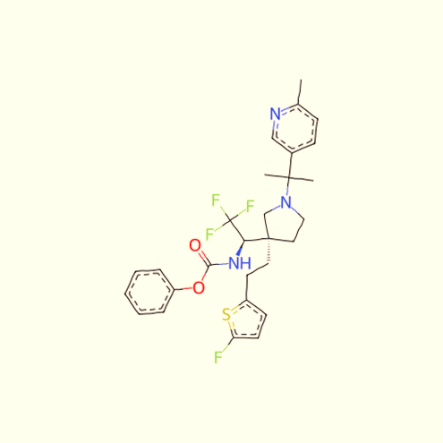 Cc1ccc(C(C)(C)N2CC[C@@](CCc3ccc(F)s3)([C@@H](NC(=O)Oc3ccccc3)C(F)(F)F)C2)cn1